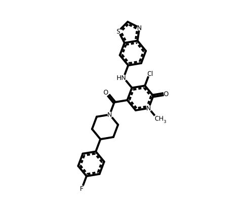 Cn1cc(C(=O)N2CCC(c3ccc(F)cc3)CC2)c(Nc2ccc3ncsc3c2)c(Cl)c1=O